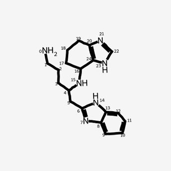 NCCCC(Cc1nc2ccccc2[nH]1)NC1CCCc2nc[nH]c21